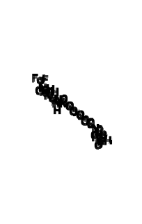 O=C1CCC(N2C(=O)c3cccc(NCCOCCOCCOCCOCCOCCNC(=O)c4nc5cc(N6CCC(O)(C(=O)NCc7cc(F)cc(F)c7)C6=O)ccc5[nH]4)c3C2=O)C(=O)N1